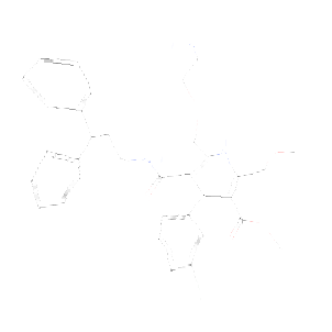 COCC1=C(C(=O)OC)C(c2cccc(Cl)c2)C(C(=O)NCCC(c2ccccc2)c2ccccc2)=C(COCCN)N1